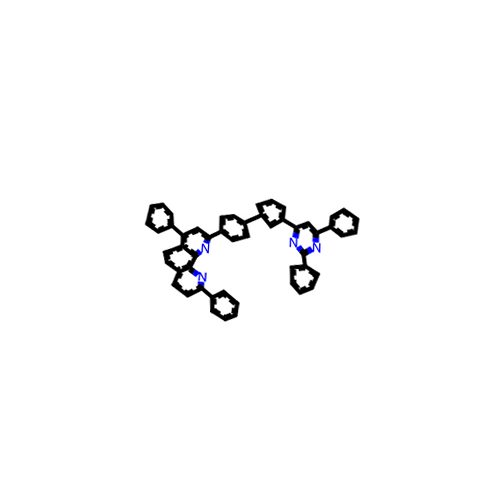 c1ccc(-c2cc(-c3cccc(-c4ccc(-c5cc(-c6ccccc6)c6ccc7ccc(-c8ccccc8)nc7c6n5)cc4)c3)nc(-c3ccccc3)n2)cc1